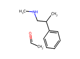 CNCC(C)c1ccccc1.[CH2]C=O